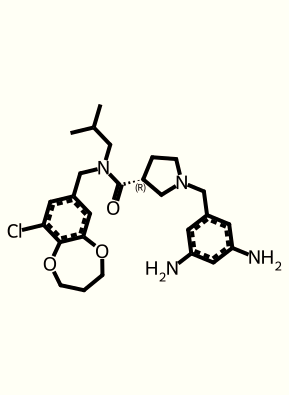 CC(C)CN(Cc1cc(Cl)c2c(c1)OCCCO2)C(=O)[C@@H]1CCN(Cc2cc(N)cc(N)c2)C1